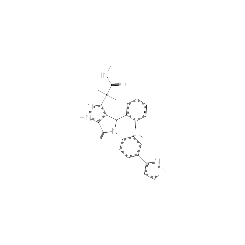 CNC(=O)C(C)(C)c1n[nH]c2c1C(c1ccccc1OC)N(c1ccc(-c3ccon3)cc1)C2=O